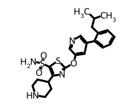 CC(C)Cc1ccccc1-c1cncc(Oc2nc(C3CCNCC3)c(S(N)(=O)=O)s2)c1